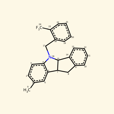 Cc1ccc2c(c1)C1Cc3ccccc3C1N2Cc1ccccc1C(F)(F)F